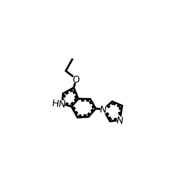 CCOc1c[nH]c2ccc(-n3ccnc3)cc12